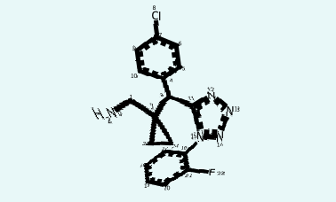 NCC1(C(c2ccc(Cl)cc2)c2nnnn2-c2ccccc2F)CC1